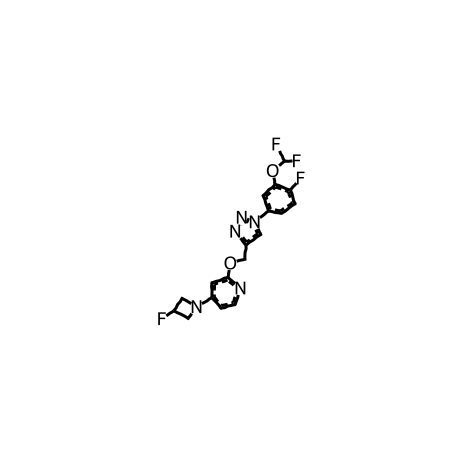 Fc1ccc(-n2cc(COc3cc(N4CC(F)C4)ccn3)nn2)cc1OC(F)F